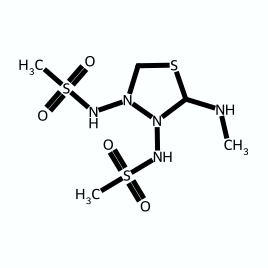 CNC1SCN(NS(C)(=O)=O)N1NS(C)(=O)=O